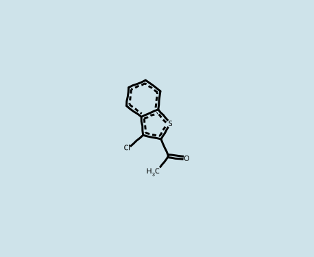 CC(=O)c1sc2ccccc2c1Cl